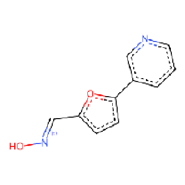 O/N=C/c1ccc(-c2cccnc2)o1